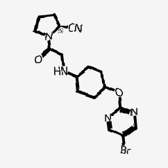 N#C[C@@H]1CCCN1C(=O)CNC1CCC(Oc2ncc(Br)cn2)CC1